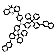 CC1(C)c2ccccc2Oc2c(-c3ccc(N(c4ccc5c(c4)C(c4ccccc4)(c4ccccc4)c4cc(-c6ccc7ccccc7c6)ccc4-5)c4ccc5c(c4)C(c4ccccc4)(c4ccccc4)c4cc(-c6ccc7ccccc7c6)ccc4-5)cc3)cccc21